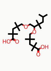 CC(C)CC(C)(C)C(COCC(C)(C)CC(C)(C)C(=O)O)OCC(C)(C)CC(C)(C)C(=O)O